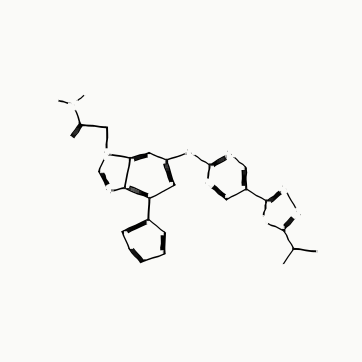 CN(C)C(=O)Cn1cnc2c(-c3ccccc3)cc(Nc3ncc(-c4nnc(C(F)F)o4)cn3)cc21